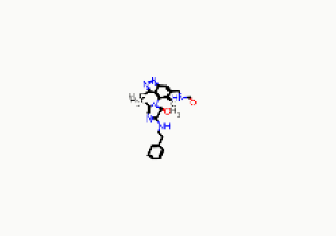 C=c1c(CNC=O)cc2c(c1-n1c(C)cnc(NCCc3ccccc3)c1=O)C(C)=NN=2